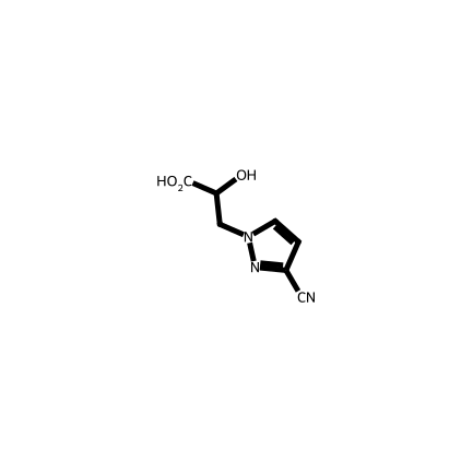 N#Cc1ccn(CC(O)C(=O)O)n1